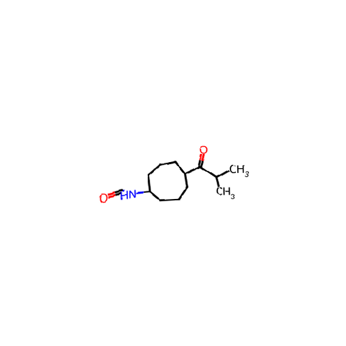 CC(C)C(=O)C1CCCC(NC=O)CCC1